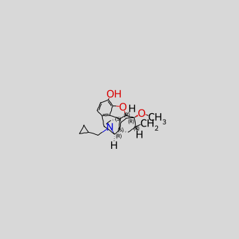 [CH2][C@@H]1C[C@@]23CC[C@]1(OC)[C@@H]1Oc4c(O)ccc5c4[C@@]12CCN(CC1CC1)[C@@H]3C5